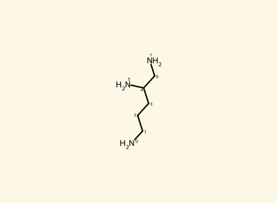 NCCCC(N)CN